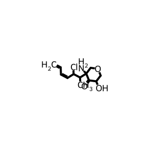 C=C/C=C\C(Cl)C(C)C1(N)COCC(O)C1=O